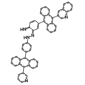 N=C1C=CC(c2c3ccccc3c(-c3cnc4ccccc4c3)c3ccccc23)=C/C1=N/Nc1ccc(-c2c3ccccc3c(-c3cccnc3)c3ccccc23)cc1